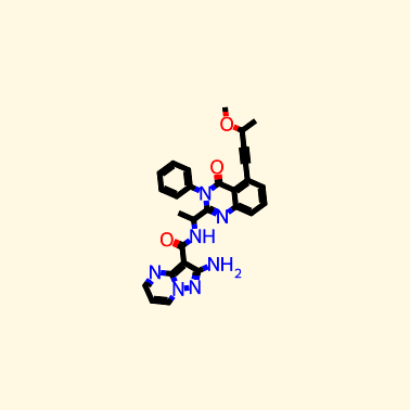 COC(C)C#Cc1cccc2nc(C(C)NC(=O)c3c(N)nn4cccnc34)n(-c3ccccc3)c(=O)c12